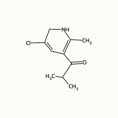 CC1=C(C(=O)C(C)C)C=C(Cl)CN1